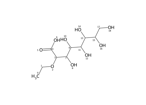 CCOC(C(=O)O)C(O)C(O)C(O)C(O)C(O)CO